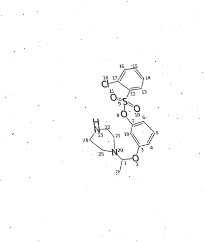 CC(Oc1cccc(OS(=O)(=O)c2ccccc2Cl)c1)N1CCNCC1